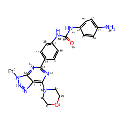 CCn1nnc2c(N3CCOCC3)nc(-c3ccc(NC(=O)Nc4ccc(N)cc4)cc3)nc21